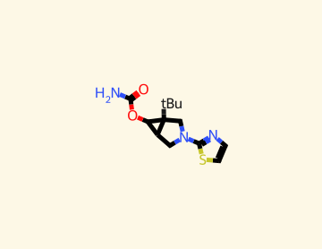 CC(C)(C)C12CN(c3nccs3)CC1C2OC(N)=O